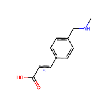 CNCc1ccc(/C=C/C(=O)O)cc1